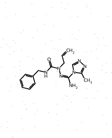 C=CCN(/N=C(/N)n1cnnc1C)C(=O)NCc1ccccc1